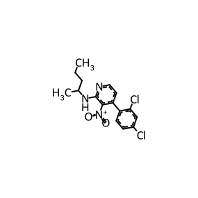 CCCC(C)Nc1nccc(-c2ccc(Cl)cc2Cl)c1[N+](=O)[O-]